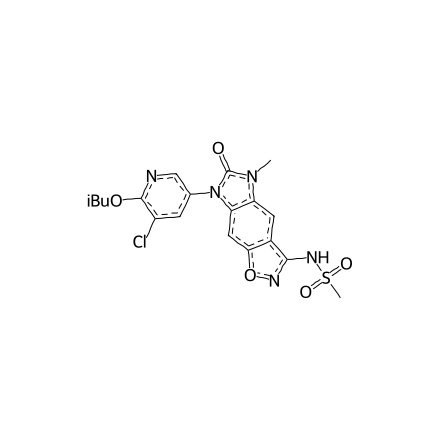 CC(C)COc1ncc(-n2c(=O)n(C)c3cc4c(NS(C)(=O)=O)noc4cc32)cc1Cl